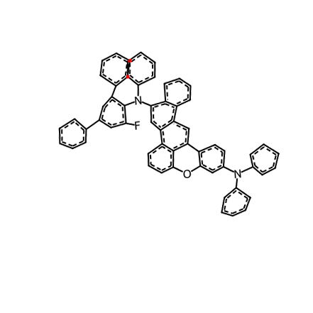 Fc1cc(-c2ccccc2)cc(-c2ccccc2)c1N(c1ccccc1)c1cc2c3cccc4c3c(cc2c2ccccc12)-c1ccc(N(c2ccccc2)c2ccccc2)cc1O4